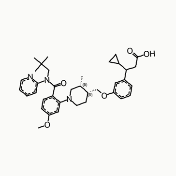 COc1ccc(C(=O)N(CC(C)(C)C)c2ccccn2)c(N2CC[C@@H](COc3cccc(C(CC(=O)O)C4CC4)c3)[C@@H](C)C2)c1